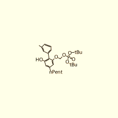 CCCCCc1cc(O)c(-c2cccc(C)c2)c(OCOP(=O)(OC(C)(C)C)OC(C)(C)C)c1